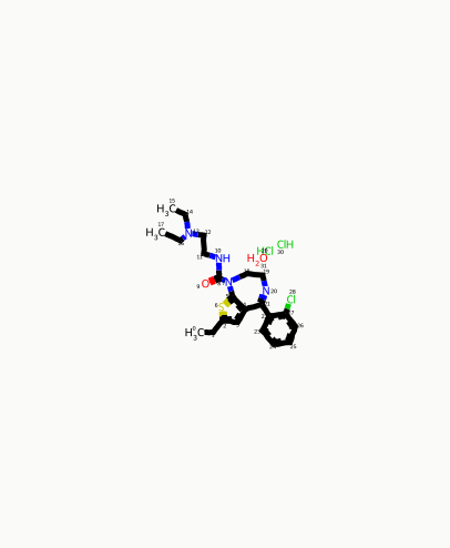 CCc1cc2c(s1)N(C(=O)NCCN(CC)CC)CCN=C2c1ccccc1Cl.Cl.Cl.O